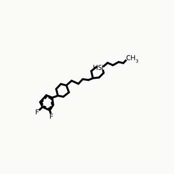 CCCCC[SiH]1CCC(CCCCC2CCC(c3ccc(F)c(F)c3)CC2)CC1